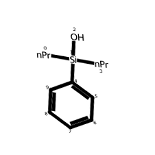 CCC[Si](O)(CCC)c1ccccc1